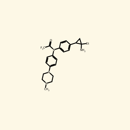 CCC1(N)CC1c1ccc(N(C(=O)C(F)(F)F)c2ccc(N3CCN(C)CC3)cc2)cc1